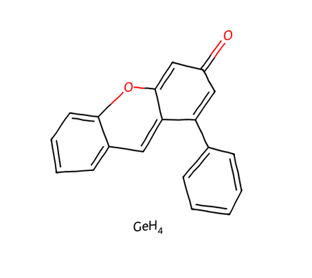 O=c1cc2oc3ccccc3cc-2c(-c2ccccc2)c1.[GeH4]